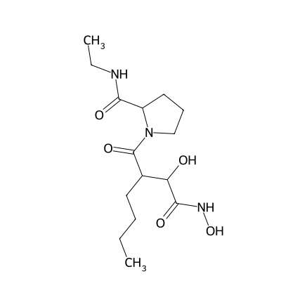 CCCCC(C(=O)N1CCCC1C(=O)NCC)C(O)C(=O)NO